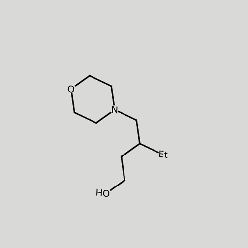 CCC(CCO)CN1CCOCC1